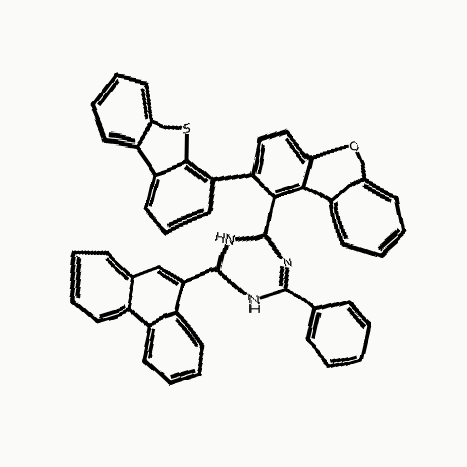 c1ccc(C2=NC(c3c(-c4cccc5c4sc4ccccc45)ccc4oc5ccccc5c34)NC(c3cc4ccccc4c4ccccc34)N2)cc1